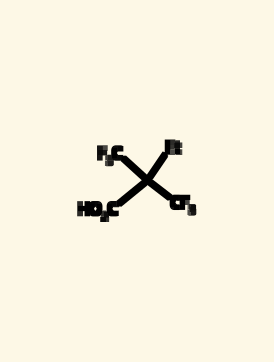 CCC(C(=O)O)(C(F)(F)F)C(F)(F)F